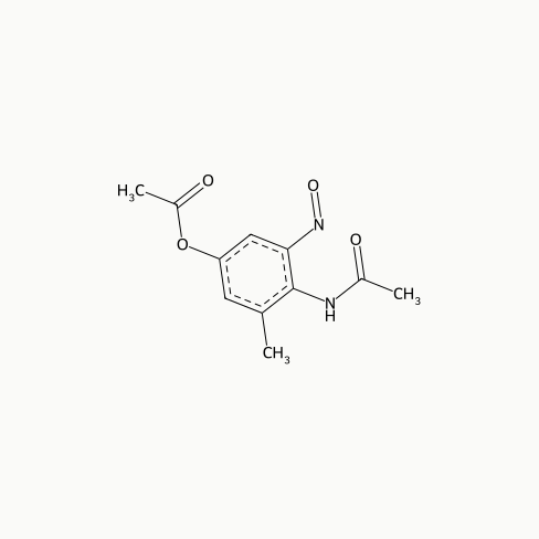 CC(=O)Nc1c(C)cc(OC(C)=O)cc1N=O